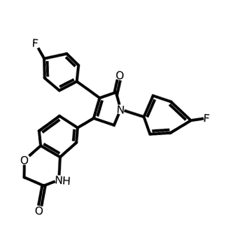 O=C1COc2ccc(C3=C(c4ccc(F)cc4)C(=O)N(c4ccc(F)cc4)C3)cc2N1